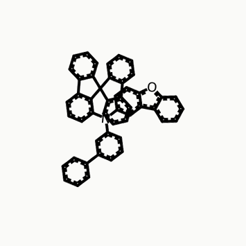 c1ccc(-c2cccc(N(c3ccc4oc5ccccc5c4c3)c3cccc4c3C3(c5ccccc5-c5ccccc53)c3ccccc3-4)c2)cc1